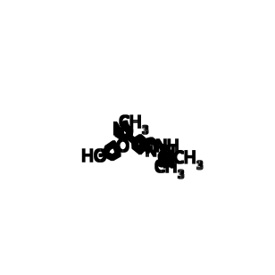 Cc1cc(-c2ccn3nc(Nc4cc(C)nc(C)n4)cc3c2)c(O[C@H]2CC[C@H](O)CC2)cn1